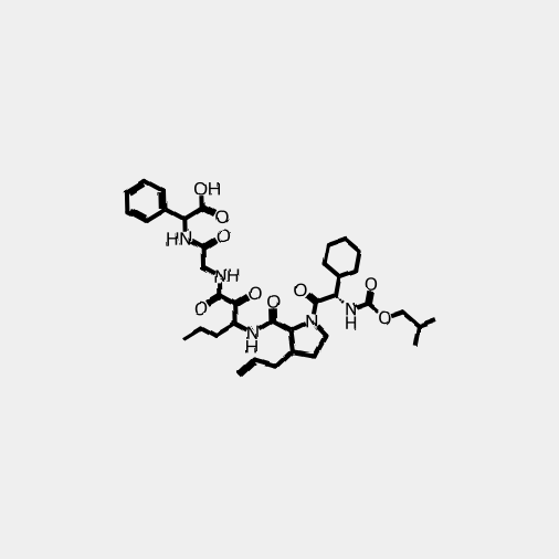 C=CCC1CCN(C(=O)[C@@H](NC(=O)OCC(C)C)C2CCCCC2)C1C(=O)NC(CCC)C(=O)C(=O)NCC(=O)NC(C(=O)O)c1ccccc1